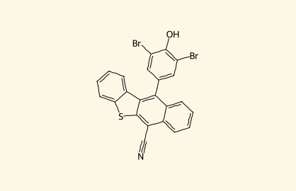 N#Cc1c2ccccc2c(-c2cc(Br)c(O)c(Br)c2)c2c1sc1ccccc12